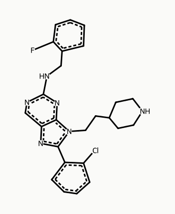 Fc1ccccc1CNc1ncc2nc(-c3ccccc3Cl)n(CCC3CCNCC3)c2n1